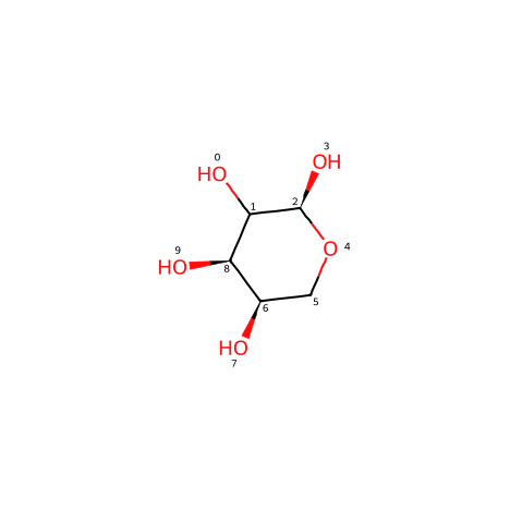 OC1[C@@H](O)OC[C@@H](O)[C@H]1O